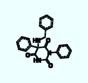 O=C1NC(=O)C(NCc2ccccc2)(c2ccccc2)C(=O)N1c1ccccc1